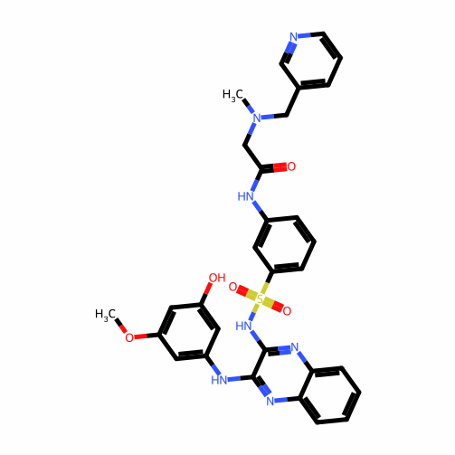 COc1cc(O)cc(Nc2nc3ccccc3nc2NS(=O)(=O)c2cccc(NC(=O)CN(C)Cc3cccnc3)c2)c1